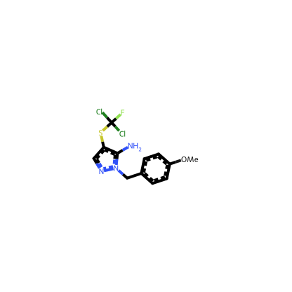 COc1ccc(Cn2ncc(SC(F)(Cl)Cl)c2N)cc1